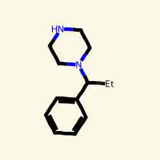 CC[C](c1ccccc1)N1CCNCC1